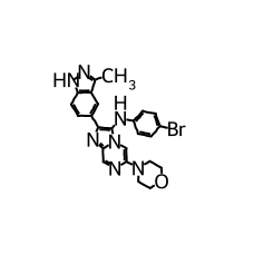 Cc1n[nH]c2ccc(-c3nc4cnc(N5CCOCC5)cn4c3Nc3ccc(Br)cc3)cc12